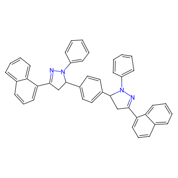 c1ccc(N2N=C(c3cccc4ccccc34)CC2c2ccc(C3CC(c4cccc5ccccc45)=NN3c3ccccc3)cc2)cc1